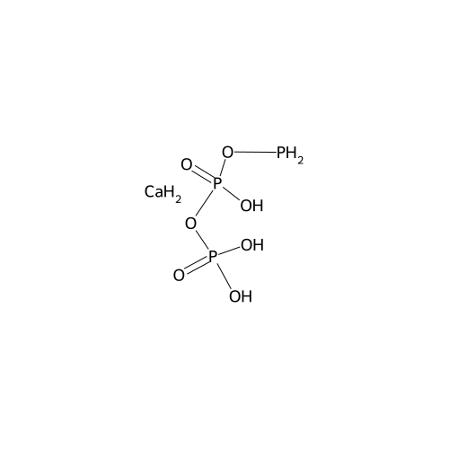 O=P(O)(O)OP(=O)(O)OP.[CaH2]